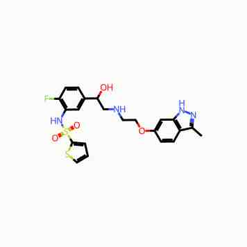 Cc1n[nH]c2cc(OCCNCC(O)c3ccc(F)c(NS(=O)(=O)c4cccs4)c3)ccc12